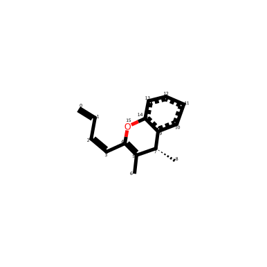 C=C/C=C\C1=C(C)[C@@H](C)c2ccccc2O1